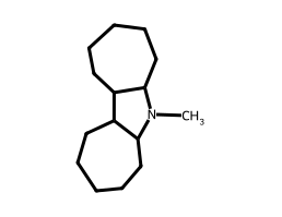 CN1C2CCCCCC2C2CCCCCC21